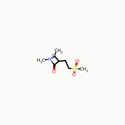 C[C@H]1C(CCS(C)(=O)=O)C(=O)N1C